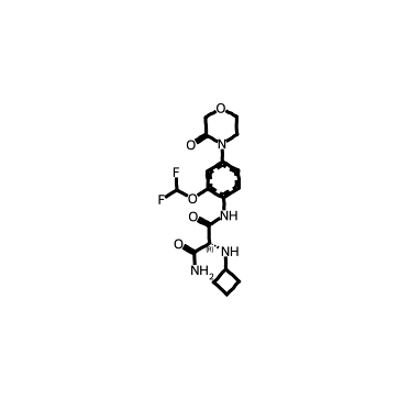 NC(=O)[C@@H](NC1CCC1)C(=O)Nc1ccc(N2CCOCC2=O)cc1OC(F)F